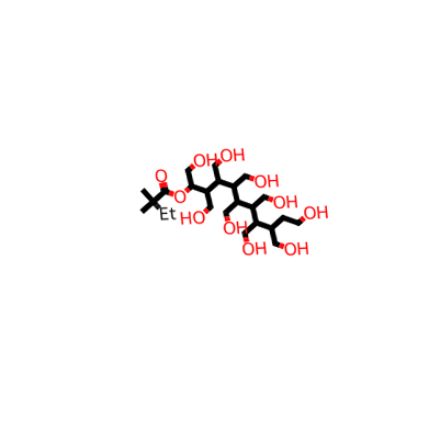 CCC(C)(C)C(=O)OC(CO)C(CO)C(CO)C(CO)C(CO)C(CO)C(CO)C(CO)CCO